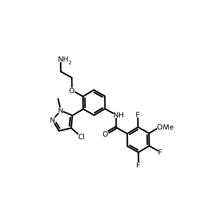 COc1c(F)c(F)cc(C(=O)Nc2ccc(OCCN)c(-c3c(Cl)cnn3C)c2)c1F